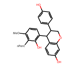 CCCCCc1c(OC)ccc(C2c3ccc(O)cc3OCC2c2ccc(O)cc2)c1O